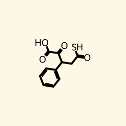 O=C(S)CC(C(=O)C(=O)O)c1ccccc1